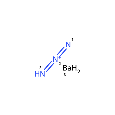 [BaH2].[N-]=[N+]=N